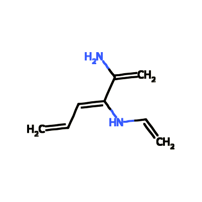 C=C/C=C(\NC=C)C(=C)N